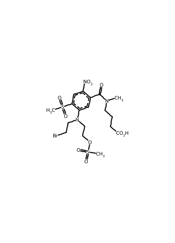 CN(CCCC(=O)O)C(=O)c1cc(N(CCBr)CCOS(C)(=O)=O)c(S(C)(=O)=O)cc1[N+](=O)[O-]